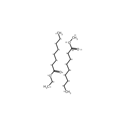 CCCCCCCC(=O)OCC.CCCCCCCCC(=O)OC